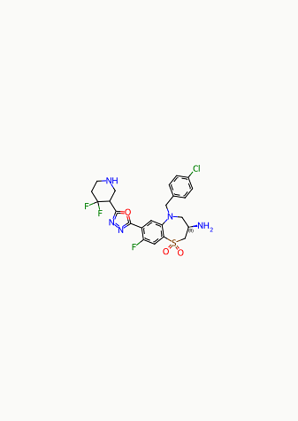 N[C@@H]1CN(Cc2ccc(Cl)cc2)c2cc(-c3nnc(C4CNCCC4(F)F)o3)c(F)cc2S(=O)(=O)C1